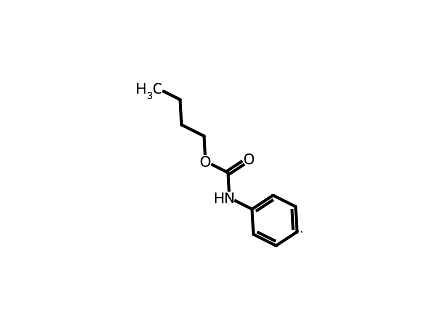 CCCCOC(=O)Nc1cc[c]cc1